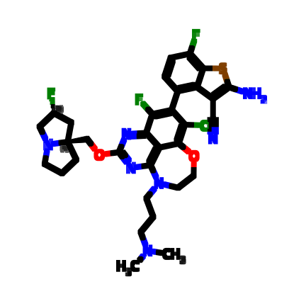 CN(C)CCCN1CCOc2c(Cl)c(-c3ccc(F)c4sc(N)c(C#N)c34)c(F)c3nc(OC[C@@]45CCCN4C[C@H](F)C5)nc1c23